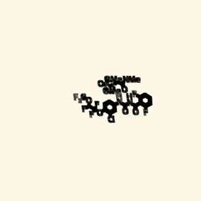 CNC(=O)CSP(=O)(OC)OC.O=C(NC(=O)c1c(F)cccc1F)Nc1ccc(OC(F)(F)C(F)OC(F)(F)F)c(Cl)c1